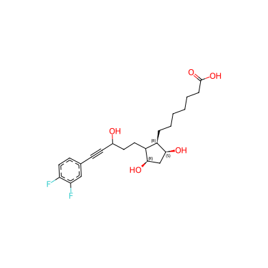 O=C(O)CCCCCC[C@@H]1C(CCC(O)C#Cc2ccc(F)c(F)c2)[C@H](O)C[C@@H]1O